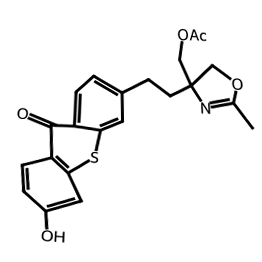 CC(=O)OCC1(CCc2ccc3c(=O)c4ccc(O)cc4sc3c2)COC(C)=N1